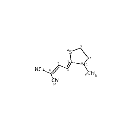 CN1CCSC1=CC=C(C#N)C#N